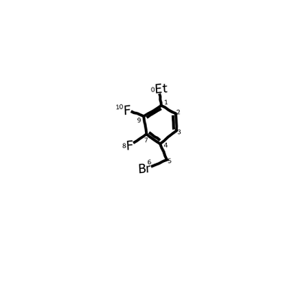 CCc1ccc(CBr)c(F)c1F